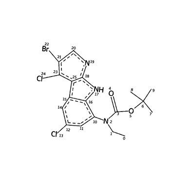 CCN(C(=O)OC(C)(C)C)c1cc(Cl)cc2c1[nH]c1ncc(Br)c(Cl)c12